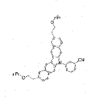 CCCOCCc1ccc2cc3c(cc2c1)c1cc2cc(CCOCCC)ccc2cc1n3-c1cccc(C#N)c1